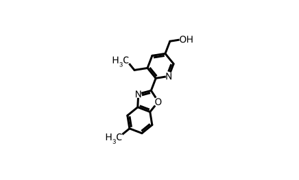 CCc1cc(CO)cnc1-c1nc2cc(C)ccc2o1